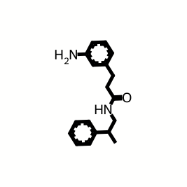 CC(CNC(=O)CCc1cccc(N)c1)c1ccccc1